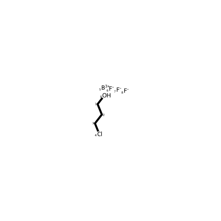 OCCCCl.[B+3].[F-].[F-].[F-]